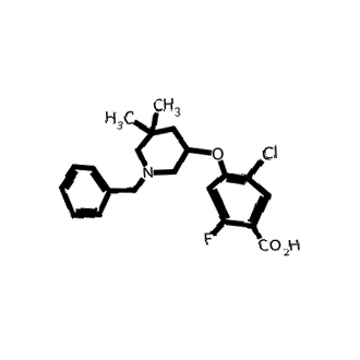 CC1(C)CC(Oc2cc(F)c(C(=O)O)cc2Cl)CN(Cc2ccccc2)C1